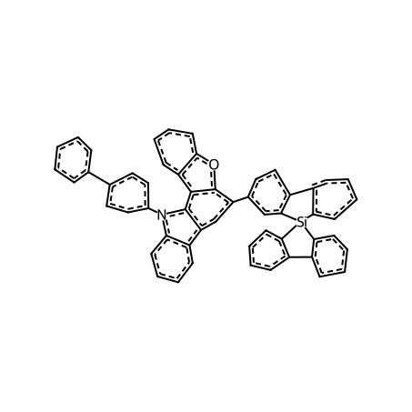 c1ccc(-c2ccc(-n3c4ccccc4c4cc(-c5ccc6c(c5)[Si]5(c7ccccc7-c7ccccc75)c5ccccc5-6)c5oc6ccccc6c5c43)cc2)cc1